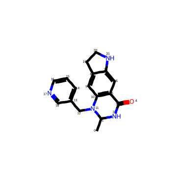 CC1NC(=O)c2cc3c(cc2N1Cc1cccnc1)CCN3